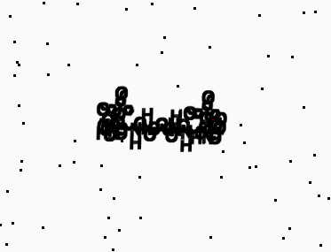 COc1ccc(C(OC[C@H]2O[C@@H](OCCCNC(=O)CNC(=O)OCC(O)COC(=O)NCC(=O)NCCCO[C@@H]3O[C@H](COC(c4ccccc4)(c4ccc(OC)cc4)c4ccc(OC)cc4)[C@H](OC(C)=O)[C@H](OC(C)=O)[C@H]3NC(C)=O)[C@H](NC(C)=O)[C@@H](OC(C)=O)[C@H]2OC(C)=O)(c2ccccc2)c2ccc(OC)cc2)cc1